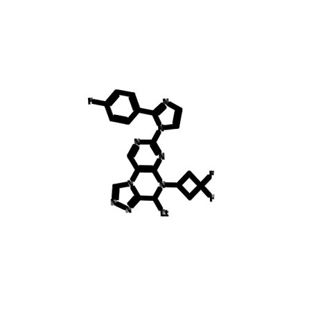 CCC1c2nncn2-c2cnc(-n3ccnc3-c3ccc(F)cc3)nc2N1C1CC(F)(F)C1